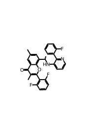 Cc1cc(C(C)Nc2cccnc2-c2ccccc2F)c2oc(-c3c(F)cccc3F)c(C)c(=O)c2c1